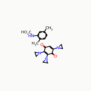 Cc1ccc(C)c(NC(=O)O)c1.O=C1C=C(N2CC2)C(=O)C(N2CC2)=C1N1CC1